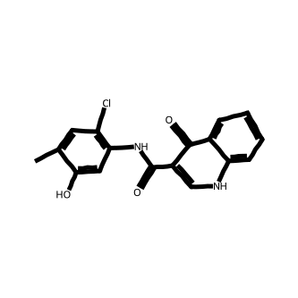 Cc1cc(Cl)c(NC(=O)c2c[nH]c3ccccc3c2=O)cc1O